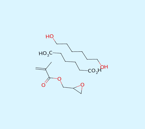 C=C(C)C(=O)OCC1CO1.O=C(O)CCCCC(=O)O.OCCCCCCO